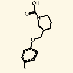 O=C(O)N1CCCC(COc2ccc(F)cc2)C1